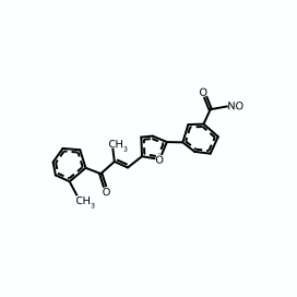 C/C(=C\c1ccc(-c2cccc(C(=O)N=O)c2)o1)C(=O)c1ccccc1C